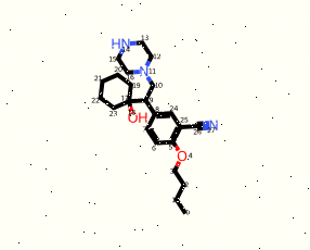 CCCCOc1ccc(C(CN2CCNCC2)C2(O)CCCCC2)cc1C#N